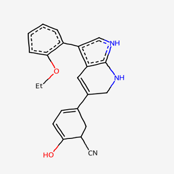 CCOc1ccccc1-c1c[nH]c2c1C=C(C1=CC=C(O)C(C#N)C1)CN2